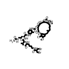 COc1cc2cc(c1Cl)N(C)C(=O)C[C@H](OC(=O)Nc1ccc(NC(=O)[C@H](CCCNC(N)=O)NC(=O)[C@@H](NC(C=O)CCCCNC(=O)C(CBr)CBr)C(C)C)cc1C)[C@]1(C)O[C@H]1[C@H](C)[C@@H]1C[C@@](O)(NC(=O)O1)[C@H](OC)/C=C/C=C(\C)C2